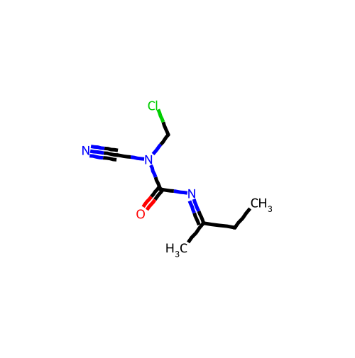 CCC(C)=NC(=O)N(C#N)CCl